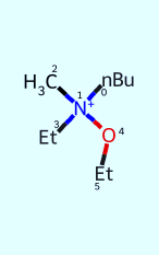 CCCC[N+](C)(CC)OCC